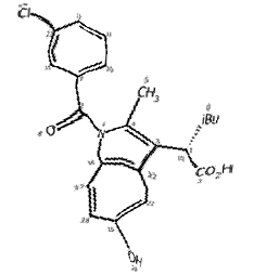 CCC(C)[C@H](C(=O)O)c1c(C)n(C(=O)c2cccc(Cl)c2)c2ccc(O)cc12